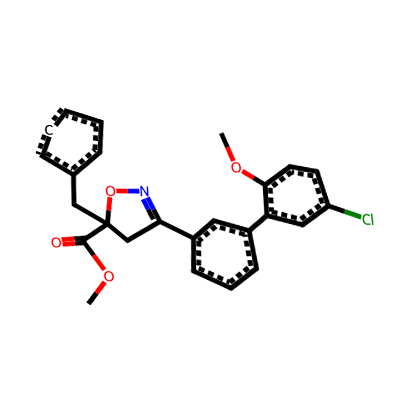 COC(=O)C1(Cc2ccccc2)CC(c2cccc(-c3cc(Cl)ccc3OC)c2)=NO1